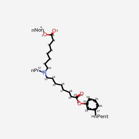 CCCCCCCCCOC(=O)CCCCCCCN(CCC)CCCCCCCC(=O)Oc1cccc(CCCCC)c1